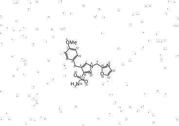 COc1ccc(Cc2cn(Cc3ncco3)nc2S(N)(=O)=O)cc1